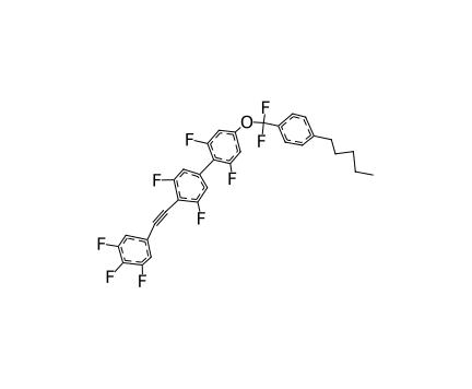 CCCCCc1ccc(C(F)(F)Oc2cc(F)c(-c3cc(F)c(C#Cc4cc(F)c(F)c(F)c4)c(F)c3)c(F)c2)cc1